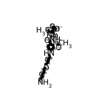 CC(=O)Nc1cc(NCCOCCOCCOCCN)ccc1C(=O)Nc1nc(C)c([N+](=O)[O-])s1